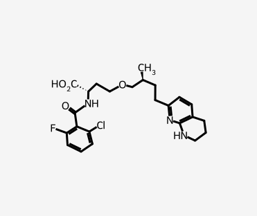 C[C@@H](CCc1ccc2c(n1)NCCC2)COCC[C@H](NC(=O)c1c(F)cccc1Cl)C(=O)O